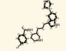 C[C@@H](N[C@H]1CCNCC1CCCc1c[nH]c2ccc(-n3cnnc3)cc12)c1ccc(F)cc1